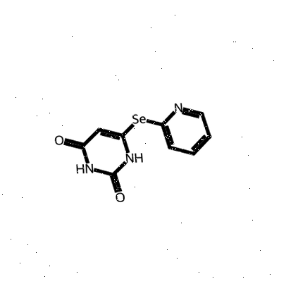 O=c1cc([Se]c2ccccn2)[nH]c(=O)[nH]1